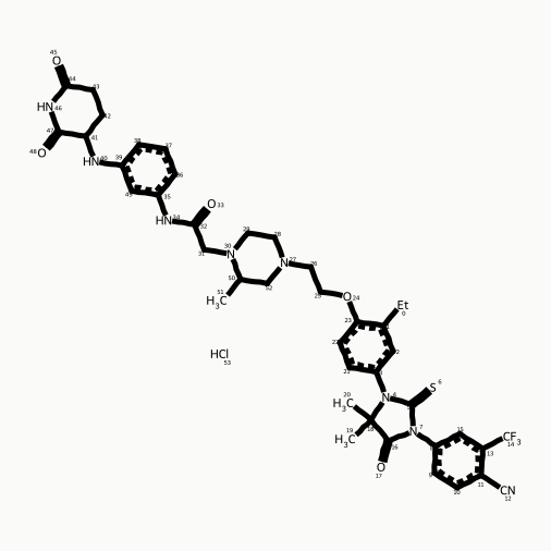 CCc1cc(N2C(=S)N(c3ccc(C#N)c(C(F)(F)F)c3)C(=O)C2(C)C)ccc1OCCN1CCN(CC(=O)Nc2cccc(NC3CCC(=O)NC3=O)c2)C(C)C1.Cl